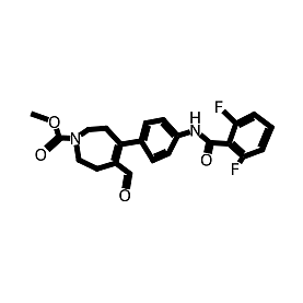 COC(=O)N1CCC(C=O)=C(c2ccc(NC(=O)c3c(F)cccc3F)cc2)CC1